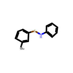 CC(C)(C)c1cccc(SNc2ccccc2)c1